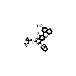 CN(C)CC1(COc2nc(N3CC4CCC(C3)N4)c3cc(F)c(-c4cc(O)cc5ccccc45)c(F)c3n2)CC1